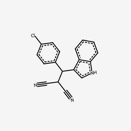 N#CC(C#N)C(c1ccc(Cl)cc1)c1c[nH]c2ccccc12